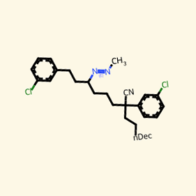 CCCCCCCCCCCCC(C#N)(CCCC(CCc1cccc(Cl)c1)/N=N/C)c1cccc(Cl)c1